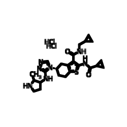 CC1NCCC1Nc1nncn1[C@H]1CCc2sc(NC(=O)C3CC3)c(C(=O)NCC3CC3)c2C1.Cl.Cl